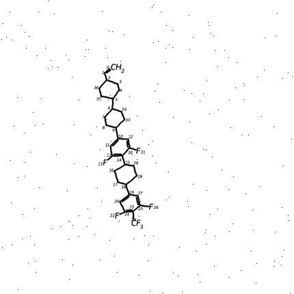 C=CC1CCC(C2CCC(c3cc(F)c(C4CCC(c5cc(F)c(C(F)(F)F)c(F)c5)CC4)c(F)c3)CC2)CC1